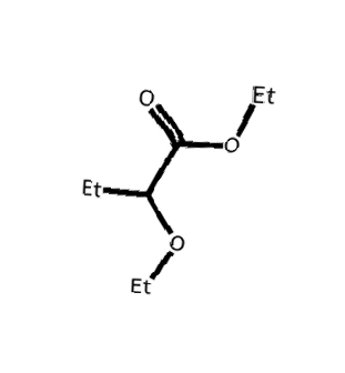 CCOC(=O)C(CC)OCC